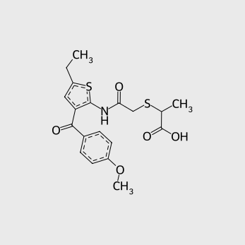 CCc1cc(C(=O)c2ccc(OC)cc2)c(NC(=O)CSC(C)C(=O)O)s1